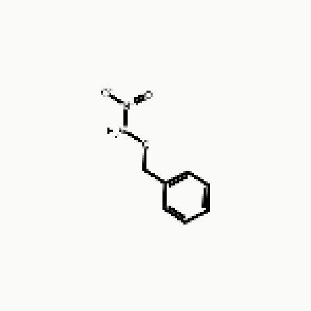 O=[N+]([O-])[SiH2]OCc1ccccc1